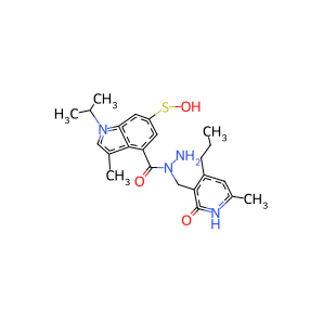 CCCc1cc(C)[nH]c(=O)c1CN(N)C(=O)c1cc(SO)cc2c1c(C)cn2C(C)C